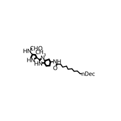 CCCCCCCCCCCCCCCCCCC(=O)Nc1ccc2[nH]c(-c3[nH]cc(NC=O)c3C)nc2c1